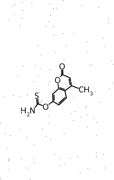 Cc1cc(=O)oc2cc(OC(N)=S)ccc12